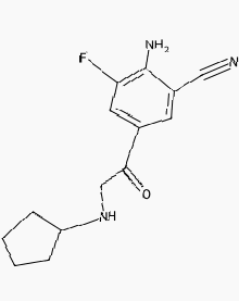 N#Cc1cc(C(=O)CNC2CCCC2)cc(F)c1N